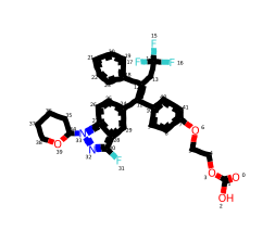 O=C(O)OCCOc1ccc(C(=C(CC(F)(F)F)c2ccccc2)c2ccc3c(c2)c(F)nn3C2CCCCO2)cc1